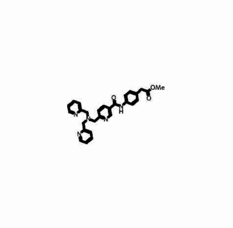 COC(=O)Cc1ccc(NC(=O)c2ccc(CN(Cc3ccccn3)Cc3ccccn3)nc2)cc1